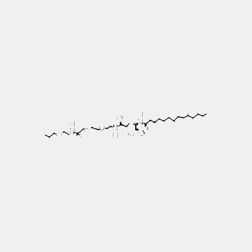 CCCCCCCCCCCCCC(=O)N[C@@H](CCC(=O)NCCOCCOCC(=O)NCCOCCC)C(=O)O